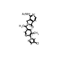 CC(=O)Nc1nccc2c1CN(C(C)c1cnc(-n3cc(Cl)cn3)c(C)c1)C2=O